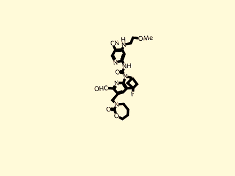 COCCNc1cc(NC(=O)N2c3nc(C=O)c(CN4CCCCOC4=O)cc3C3(F)CC2C3)ncc1C#N